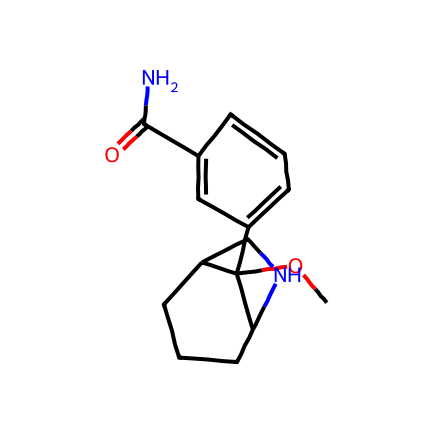 COC1(c2cccc(C(N)=O)c2)C2CCCC1NC2